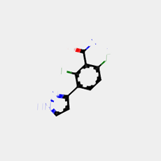 NC(=O)c1c(F)ccc(-c2cc[nH]n2)c1F